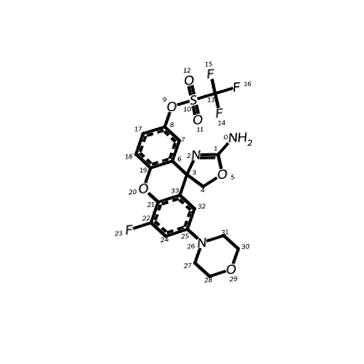 NC1=NC2(CO1)c1cc(OS(=O)(=O)C(F)(F)F)ccc1Oc1c(F)cc(N3CCOCC3)cc12